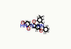 CC1(C)CCCC(CN[C@H]2CCCC[C@@H]2Oc2ccc3c(c2)CN(C2CCC(=O)NC2=O)C3=O)C1